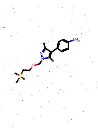 Cc1nn(COCCS(C)(C)C)c(C)c1-c1ccc(N)cc1